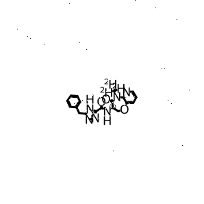 [2H]C([2H])([2H])N1C(=O)[C@@H](NC(=O)c2nnc(Cc3ccccc3)[nH]2)COc2cccnc21